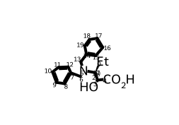 CC[C@@H](C(O)C(=O)O)N(Cc1ccccc1)Cc1ccccc1